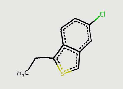 CCc1scc2cc(Cl)ccc12